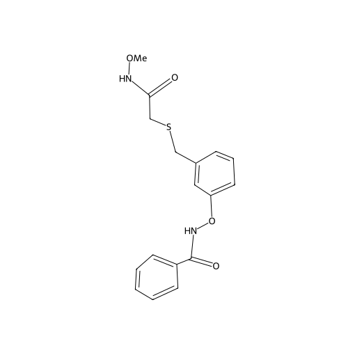 CONC(=O)CSCc1cccc(ONC(=O)c2ccccc2)c1